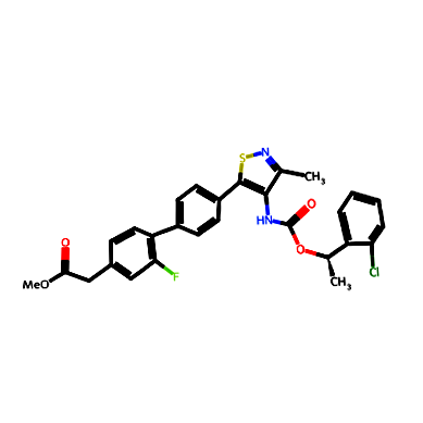 COC(=O)Cc1ccc(-c2ccc(-c3snc(C)c3NC(=O)O[C@H](C)c3ccccc3Cl)cc2)c(F)c1